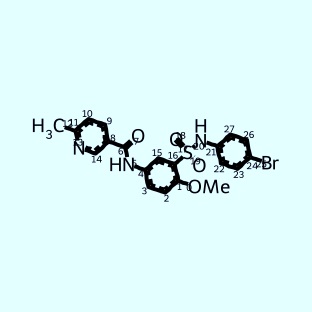 COc1ccc(NC(=O)c2ccc(C)nc2)cc1S(=O)(=O)Nc1ccc(Br)cc1